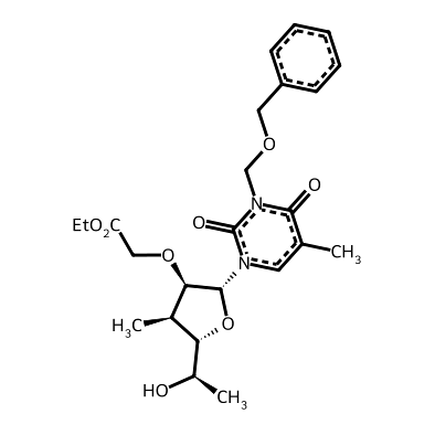 CCOC(=O)CO[C@@H]1[C@H](C)[C@@H]([C@@H](C)O)O[C@H]1n1cc(C)c(=O)n(COCc2ccccc2)c1=O